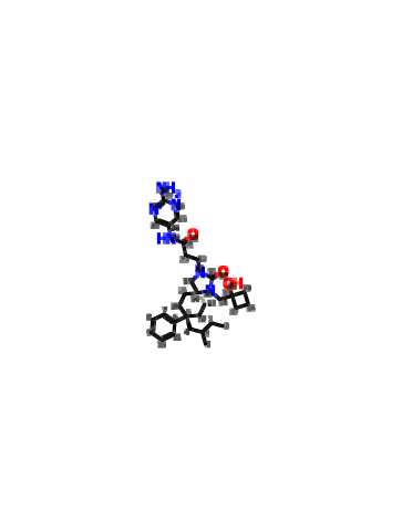 CCC(C)C[C@]1(c2ccccc2)CC[C@]2(CC1)CN(CCC(=O)Nc1cnc(N)nc1)C(=O)N2CC1(O)CCC1